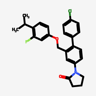 CC(C)c1ccc(OCc2cc(N3CCCC3=O)ccc2-c2ccc(Cl)cc2)cc1F